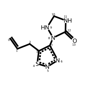 C=CCc1snnc1N1NCNC1=O